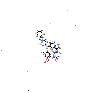 COc1cc(C)ccc1CN1C(=O)CCN(c2cnn3ccc(CC4CCN(CC5(F)CCCCC5)CC4)cc23)C1=O